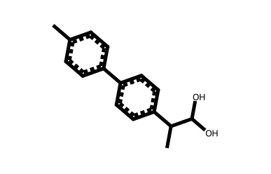 Cc1ccc(-c2ccc(C(C)C(O)O)cc2)cc1